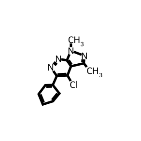 Cc1nn(C)c2nnc(-c3ccccc3)c(Cl)c12